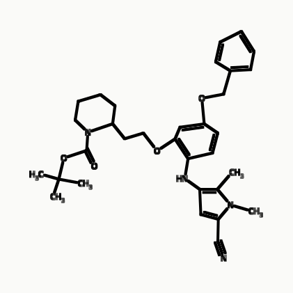 Cc1c(Nc2ccc(OCc3ccccc3)cc2OCCC2CCCCN2C(=O)OC(C)(C)C)cc(C#N)n1C